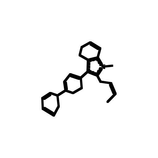 C/C=C\Cc1c(C2=CC=C(C3C=CC=CC3)CC2)c2c(n1C)C=CCC2